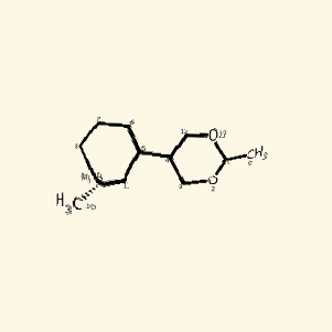 CC1OCC(C2CCC[C@@H](C)C2)CO1